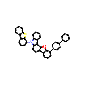 C1=CC(c2cccc3c2oc2c3ccc3c2c2ccccc2n3-c2cccc3c2sc2ccccc23)CC=C1c1ccccc1